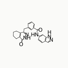 O=C(Nc1ccc2cn[nH]c2c1)c1cccc(Cc2n[nH]c(=O)c3c2CCCC3)c1